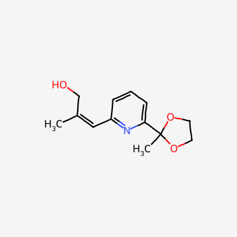 CC(=Cc1cccc(C2(C)OCCO2)n1)CO